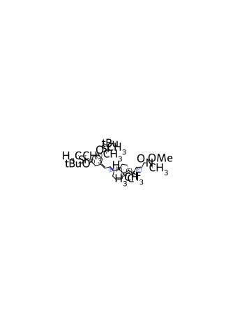 CON(C)C(=O)/C=C/[C@](C)(F)[C@H]1CC[C@H]2/C(=C/C=C3C[C@@H](O[Si](C)(C)C(C)(C)C)C[C@H](O[Si](C)(C)C(C)(C)C)C3)CCC[C@@]21C